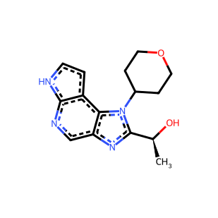 C[C@H](O)c1nc2cnc3[nH]ccc3c2n1C1CCOCC1